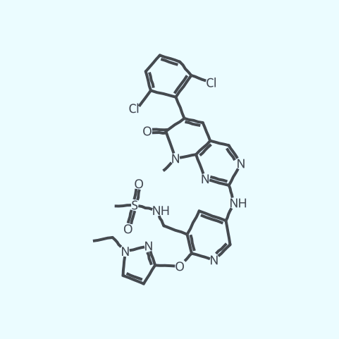 CCn1ccc(Oc2ncc(Nc3ncc4cc(-c5c(Cl)cccc5Cl)c(=O)n(C)c4n3)cc2CNS(C)(=O)=O)n1